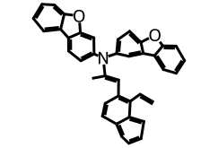 C=Cc1c(/C=C(\C)N(c2ccc3c(c2)oc2ccccc23)c2ccc3oc4ccccc4c3c2)ccc2ccccc12